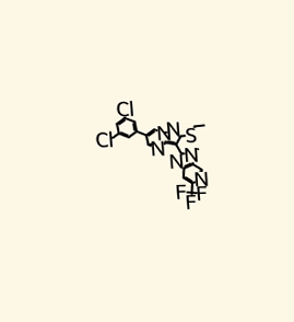 CCSc1nn2cc(-c3cc(Cl)cc(Cl)c3)cnc2c1-c1nc2cc(C(F)(F)F)ncc2n1C